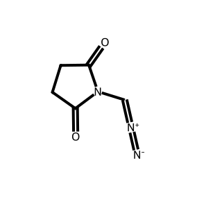 [N-]=[N+]=CN1C(=O)CCC1=O